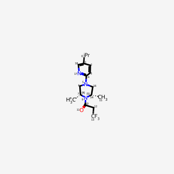 CC(C)c1ccc(N2C[C@@H](C)N(C(=O)CC(F)(F)F)[C@@H](C)C2)nc1